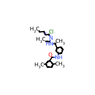 C=C/C=C/C(Cl)=N\C(=C/C)N[C@@H](C)c1cccc(NC(=O)c2cc(C)ccc2C)c1